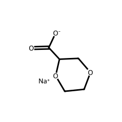 O=C([O-])C1COCCO1.[Na+]